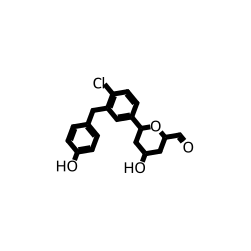 O=CC1CC(O)CC(c2ccc(Cl)c(Cc3ccc(O)cc3)c2)O1